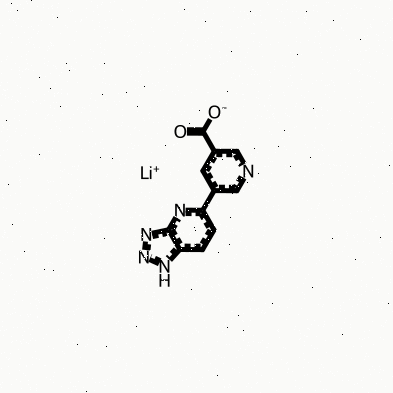 O=C([O-])c1cncc(-c2ccc3[nH]nnc3n2)c1.[Li+]